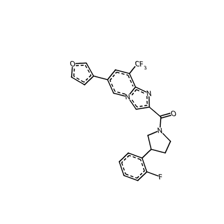 O=C(c1cn2cc(-c3ccoc3)cc(C(F)(F)F)c2n1)N1CCC(c2ccccc2F)C1